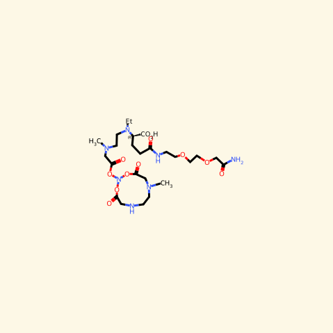 CCN(CCN(C)CC(=O)ON1OC(=O)CNCCN(C)CC(=O)O1)[C@H](CCC(=O)NCCOCCOCC(N)=O)C(=O)O